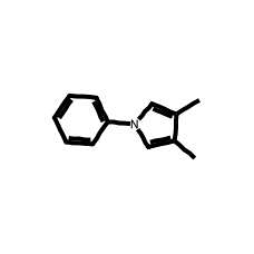 Cc1cn(-c2ccccc2)cc1C